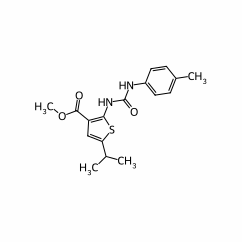 COC(=O)c1cc(C(C)C)sc1NC(=O)Nc1ccc(C)cc1